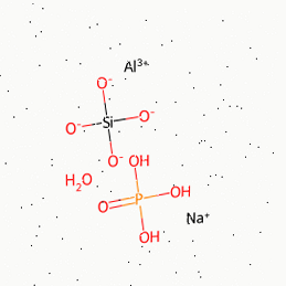 O.O=P(O)(O)O.[Al+3].[Na+].[O-][Si]([O-])([O-])[O-]